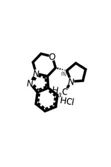 CN1CCC[C@H]1C1OCCn2nc3ccccc3c21.Cl